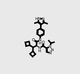 Cc1n[nH]c(C)c1-c1ccc(NC(=O)[C@@H](NC(=O)c2cnnn2C(C)C)C(C2CCC2)C2CCC2)cc1